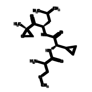 COCC(N)C(=O)N[C@H](C(=O)N[C@@H](CC(C)C)C(=O)[C@@]1(C)CO1)C1CC1